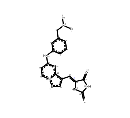 CCN(CC)Cc1cccc(Nc2ccn3ncc(/C=C4\NC(=O)NC4=O)c3n2)c1